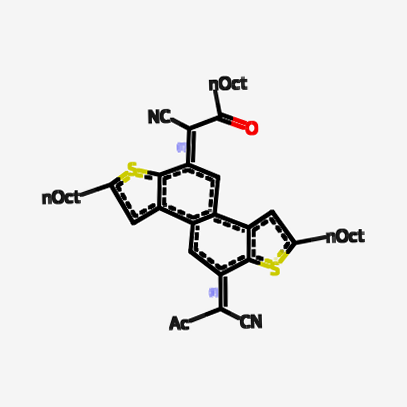 CCCCCCCCC(=O)/C(C#N)=c1\cc2c3cc(CCCCCCCC)sc3/c(=C(\C#N)C(C)=O)cc2c2cc(CCCCCCCC)sc12